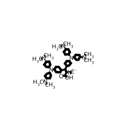 [C-]#[N+]C(C(=O)O)=C(c1ccc(N(c2ccc(N(C)C)cc2)c2ccc(N(C)C)cc2)cc1)c1ccc(N(c2ccc(N(C)C)cc2)c2ccc(N(C)C)cc2)cc1